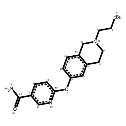 CC(C)(C)CCN1CCc2cc(Oc3ccc(C(N)=O)cn3)ccc2C1